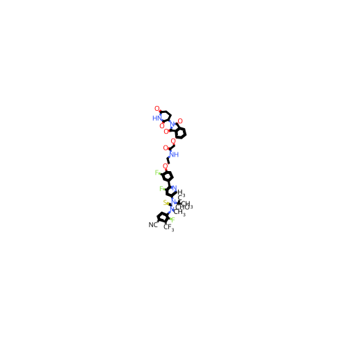 CN(C(=S)N(c1cnc(-c2ccc(OCCNC(=O)COc3cccc4c3C(=O)N(C3CCC(=O)NC3=O)C4=O)c(F)c2)c(F)c1)C(C)(C)C=O)c1ccc(C#N)c(C(F)(F)F)c1F